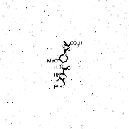 COCc1nc(C(=O)N[C@@H]2CCN(c3nc(C)c(C(=O)O)s3)C[C@@H]2OC)[nH]c1C